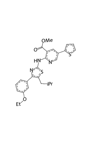 CCOc1cccc(-c2nc(Nc3ncc(-c4cccs4)cc3C(=O)OC)sc2CC(C)C)c1